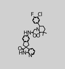 CC1(C)CCC(c2ccc(F)c(Cl)c2)N(CC(=O)Nc2ccc3c(c2)CC2(C3)C(=O)Nc3ncccc32)C1=O